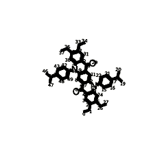 CCc1cc2c(=O)c3cc4c(cc3n(-c3ccc(C(C)C)cc3)c2cc1CC)c(=O)c1cc(CC)c(CC)cc1n4-c1ccc(C(C)C)cc1